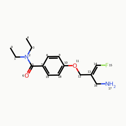 CCN(CC)C(=O)c1ccc(OCC(=CF)CN)cc1